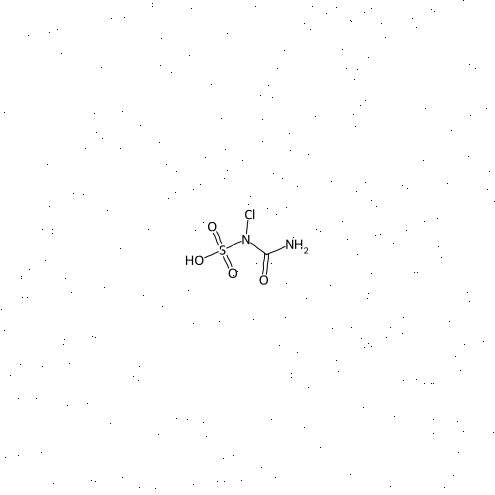 NC(=O)N(Cl)S(=O)(=O)O